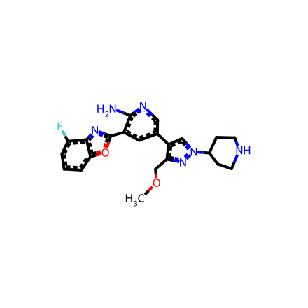 COCc1nn(C2CCNCC2)cc1-c1cnc(N)c(-c2nc3c(F)cccc3o2)c1